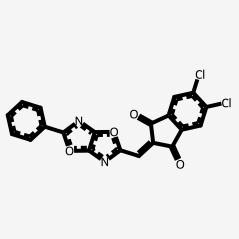 O=C1C(=Cc2nc3oc(-c4ccccc4)nc3o2)C(=O)c2cc(Cl)c(Cl)cc21